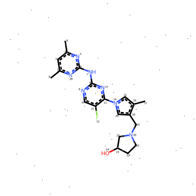 Cc1cc(C)nc(Nc2ncc(F)c(-n3cc(C)c(CN4CCC(O)C4)c3)n2)n1